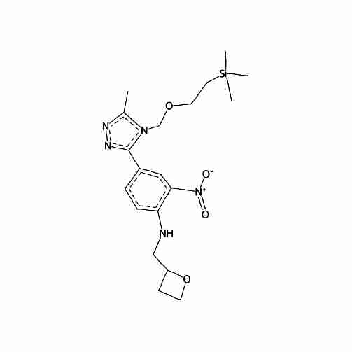 Cc1nnc(-c2ccc(NCC3CCO3)c([N+](=O)[O-])c2)n1COCC[Si](C)(C)C